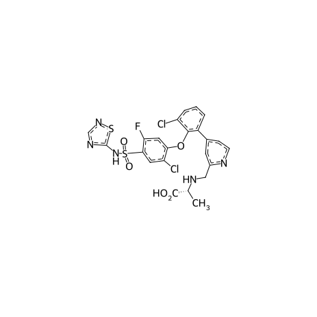 C[C@@H](NCc1cc(-c2cccc(Cl)c2Oc2cc(F)c(S(=O)(=O)Nc3ncns3)cc2Cl)ccn1)C(=O)O